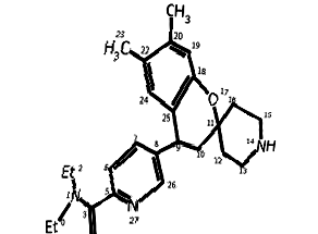 CCN(CC)C(=O)c1ccc(C2CC3(CCNCC3)Oc3cc(C)c(C)cc32)cn1